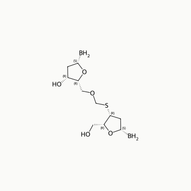 B[C@H]1C[C@@H](O)[C@@H](COCS[C@@H]2C[C@H](B)O[C@@H]2CO)O1